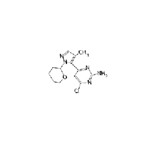 Cc1cnn(C2CCCCO2)c1-c1cc(Cl)nc(N)n1